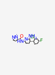 Cn1nccc1C(=O)Nc1ccc(-c2ccc(F)cc2Cl)c(N)n1